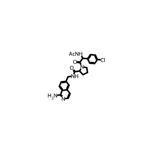 CC(=O)NC(C(=O)N1CCCC1C(=O)NCc1ccc2c(N)nccc2c1)c1ccc(Cl)cc1